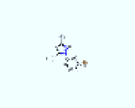 CCc1cc(C(Cl)(Cl)Cl)n(-c2cccc(Br)c2)n1